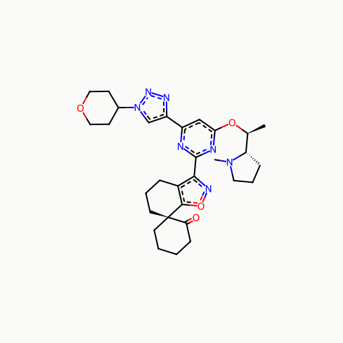 C[C@H](Oc1cc(-c2cn(C3CCOCC3)nn2)nc(-c2noc3c2CCC[C@@]32CCCCC2=O)n1)[C@@H]1CCCN1C